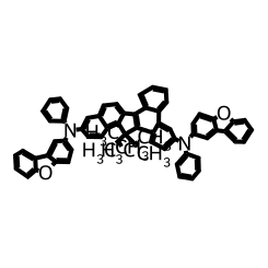 CC(C)(C)C1(C(C)(C)C)c2c(ccc3cc(N(c4ccccc4)c4ccc5oc6ccccc6c5c4)ccc23)-c2c1c1ccc(N(c3ccccc3)c3ccc4oc5ccccc5c4c3)cc1c1ccccc21